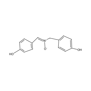 [O-][N+](=Cc1ccc(O)cc1)Cc1ccc(O)cc1